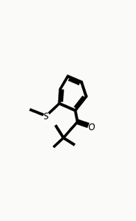 CSc1ccccc1C(=O)C(C)(C)C